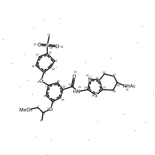 COCC(C)Oc1cc(Oc2ccc(S(C)(=O)=O)cc2)cc(C(=O)Nc2nc3c(s2)CC(NC(C)=O)CC3)c1